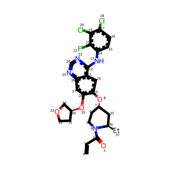 C=CC(=O)N1CC[C@H](Oc2cc3c(Nc4ccc(Cl)c(Cl)c4F)ncnc3cc2O[C@H]2CCOC2)C[C@H]1CC